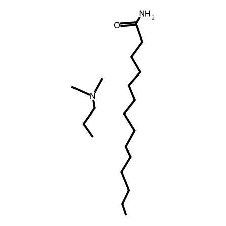 CCCCCCCCCCCCCC(N)=O.CCCN(C)C